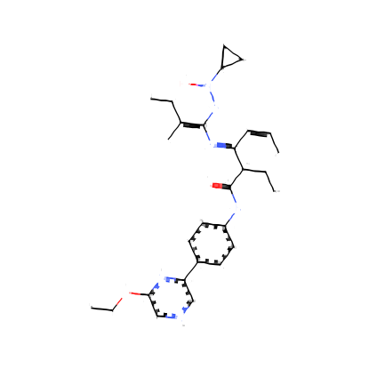 C\C=C/C(=N\C(NN(O)C1CC1)=C(/C)CC)C(CC)C(=O)Nc1ccc(-c2cncc(OCC)n2)cc1